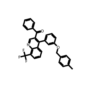 Cc1ccc(COc2cccc(-c3c(C(=O)c4ccccc4)cnc4c(C(F)(F)F)cccc34)c2)cc1